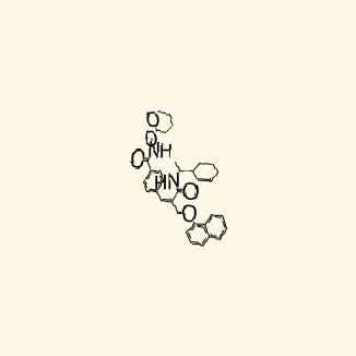 CC(NC(=O)C(=Cc1ccc(C(=O)NOC2CCCCO2)cc1)COc1cccc2ccccc12)C1C=CCCC1